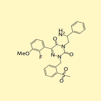 COc1cccc(-c2nn(Cc3ccccc3S(C)(=O)=O)c(=O)n(CC(N)c3ccccc3)c2=O)c1F